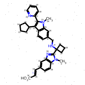 Cn1c(C2(NCc3ccc4c(C5CCCC5)c(-c5ccccn5)n(C)c4c3)CCC2)nc2cc(/C=C/C(=O)O)ccc21